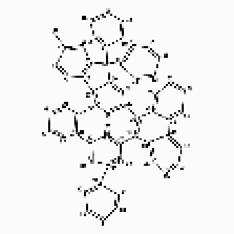 Cc1ccc2c(c1)C(c1ccccc1)(c1ccccc1)c1cc(-c3c(-c4nc(-c5ccccc5)nc(-c5ccccc5)n4)c4ccccc4c4ccccc34)ccc1-2